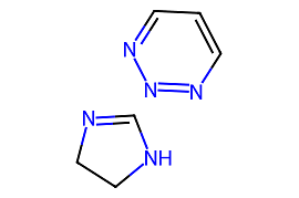 C1=NCCN1.c1cnnnc1